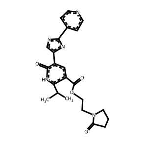 CC(C)c1[nH]c(=O)c(-c2csc(-c3ccncc3)n2)cc1C(=O)OCCN1CCCC1=O